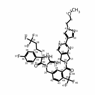 COCCn1cc(-c2ncc3c(n2)CN(C(=O)c2cc(CN4C(=N)N[C@](CCCC(F)(F)F)(c5ccc(F)cc5)C4=O)ccc2C(F)(F)F)C3)cn1